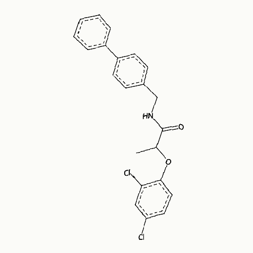 CC(Oc1ccc(Cl)cc1Cl)C(=O)NCc1ccc(-c2ccccc2)cc1